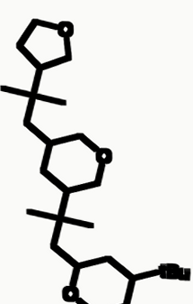 CC(C)(C)C1CCOC(CC(C)(C)C2COCC(CC(C)(C)C3CCOC3)C2)C1